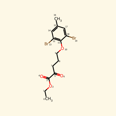 CCOC(=O)C(=O)CCCOc1c(Br)cc(C)cc1Br